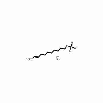 CCCCCCCCC=CCCCCCCCCOP(=O)([O-])[O-].[K+].[K+]